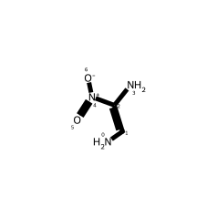 NC=C(N)[N+](=O)[O-]